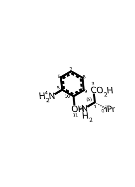 CC(C)[C@H](N)C(=O)O.Nc1ccccc1O